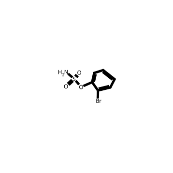 NS(=O)(=O)Oc1ccccc1Br